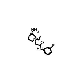 CC[N+]1(CC(=O)Nc2cccc(F)c2)CCC[C@H](N)C1